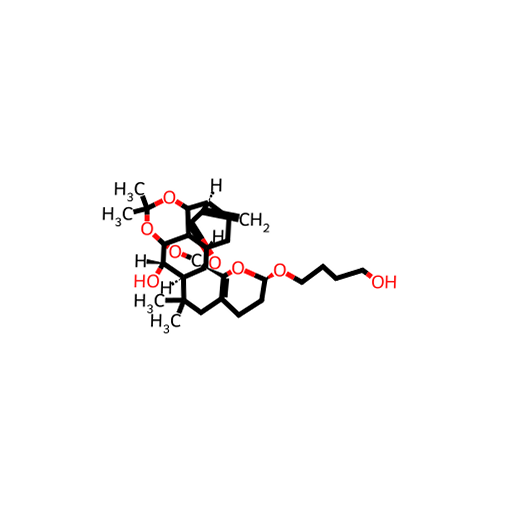 C=C1C(=O)[C@@]23C4OC(C)(C)OC25OC[C@]2(C6=C(CC[C@H](OCCCCO)O6)CC(C)(C)[C@H]2[C@@H]5O)[C@@H]3CC[C@@H]14